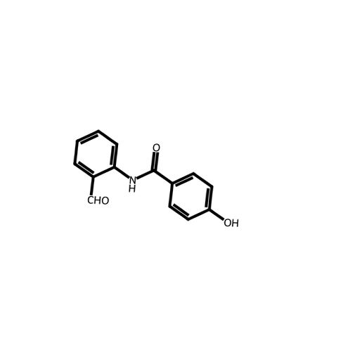 O=Cc1ccccc1NC(=O)c1ccc(O)cc1